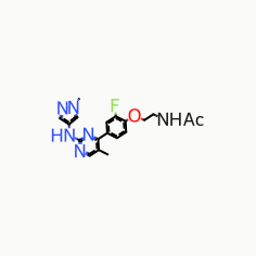 CC(=O)NCCOc1ccc(-c2nc(Nc3cnn(C)c3)ncc2C)cc1F